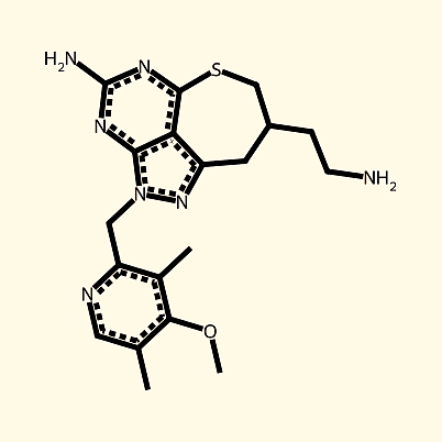 COc1c(C)cnc(Cn2nc3c4c(nc(N)nc42)SCC(CCN)C3)c1C